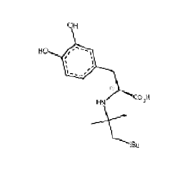 CC(C)(C)CC(C)(C)N[C@@H](Cc1ccc(O)c(O)c1)C(=O)O